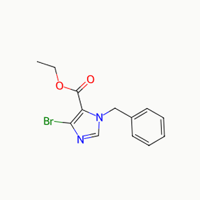 CCOC(=O)c1c(Br)ncn1Cc1ccccc1